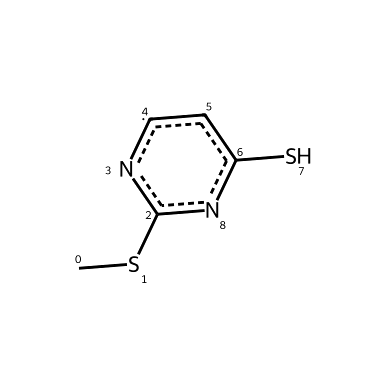 CSc1n[c]cc(S)n1